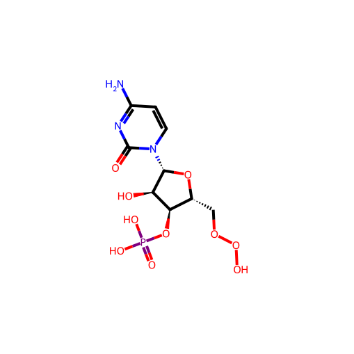 Nc1ccn([C@@H]2O[C@H](COOO)[C@@H](OP(=O)(O)O)[C@H]2O)c(=O)n1